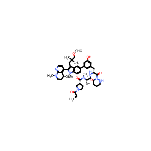 C=CC(=O)N1CC[C@H](C(=O)N(C)[C@H](C(=O)N[C@@H](Cc2cc(O)cc(-c3ccc4c(c3)c(CC(C)(C)COC=O)c(-c3ccnc5c3[C@@H](OC)CCN5C)n4CC)c2)C(=O)N2CCCCN2)C(C)C)C1